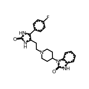 O=c1[nH]c(CCN2CCC(n3c(=O)[nH]c4ccccc43)CC2)c(-c2ccc(F)cc2)[nH]1